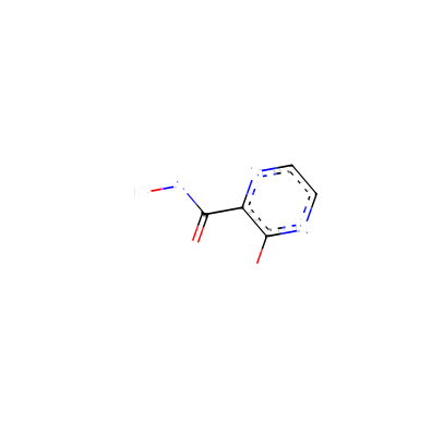 O=C(NO)c1nccnc1O